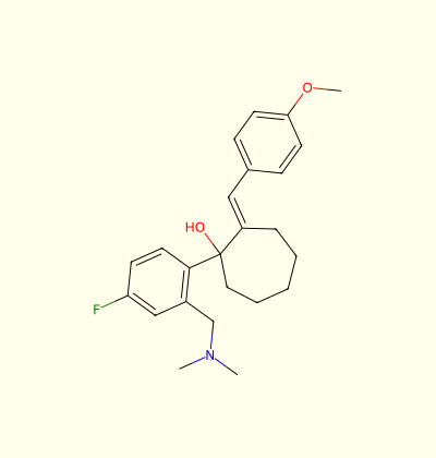 COc1ccc(C=C2CCCCCC2(O)c2ccc(F)cc2CN(C)C)cc1